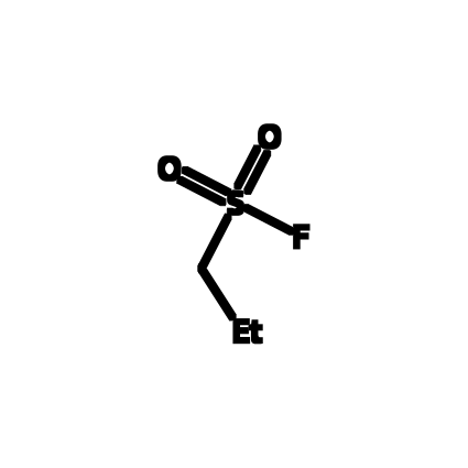 [CH2]CCS(=O)(=O)F